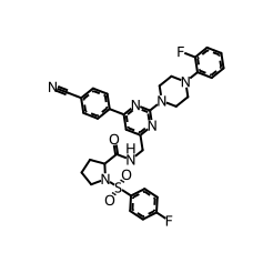 N#Cc1ccc(-c2cc(CNC(=O)C3CCCN3S(=O)(=O)c3ccc(F)cc3)nc(N3CCN(c4ccccc4F)CC3)n2)cc1